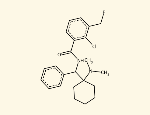 CN(C)C1(C(NC(=O)c2cccc(CF)c2Cl)c2ccccc2)CCCCC1